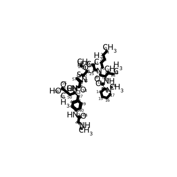 CCCCCCN(C(=O)[C@@H](NC(=O)[C@H]1CCCCN1C)[C@@H](C)CC)[C@H](C[C@@H](OCC)c1nc(C(=O)N[C@@H](Cc2ccc(NC(=O)CNC)cc2)CC(C)(C)C(=O)O)cs1)C(C)C